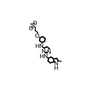 Cc1cc2cc(Nc3nccc(Nc4cccc(OCCCS(C)(=O)=O)c4)n3)ccc2[nH]1